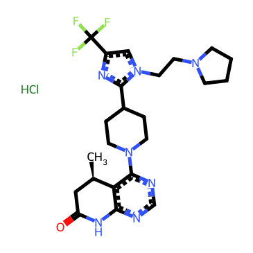 C[C@@H]1CC(=O)Nc2ncnc(N3CCC(c4nc(C(F)(F)F)cn4CCN4CCCC4)CC3)c21.Cl